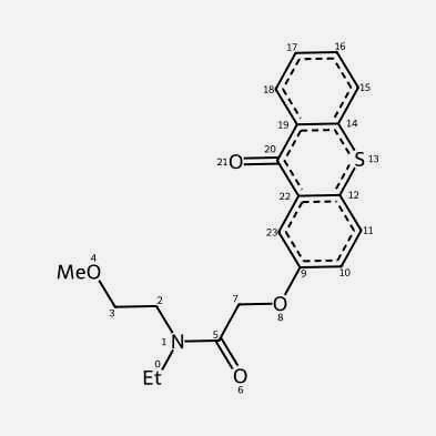 CCN(CCOC)C(=O)COc1ccc2sc3ccccc3c(=O)c2c1